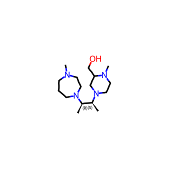 C[C@H]([C@H](C)N1CCN(C)C(CO)C1)N1CCCN(C)CC1